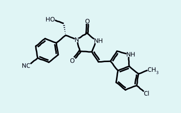 Cc1c(Cl)ccc2c(/C=C3\NC(=O)N([C@@H](CO)c4ccc(C#N)cc4)C3=O)c[nH]c12